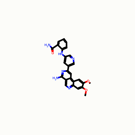 COc1cc2ncc3c(N)nc(-c4cncc(Nc5ccccc5C(N)=O)c4)cc3c2cc1OC